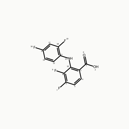 O=C(O)c1ccc(F)c(F)c1Nc1ccc(F)cc1F